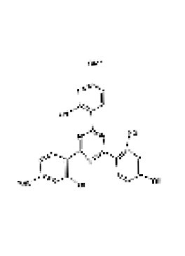 COc1ccc(-c2nc(-c3ccc(O)cc3N=O)nc(-c3ccc(OC)cc3N=O)n2)c(O)c1